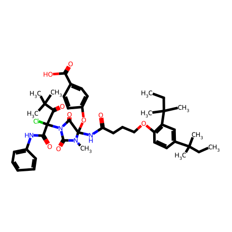 CCC(C)(C)c1ccc(OCCCC(=O)NC2(Oc3ccc(C(=O)O)cc3)C(=O)N(C(Cl)(C(=O)Nc3ccccc3)C(=O)C(C)(C)C)C(=O)N2C)c(C(C)(C)CC)c1